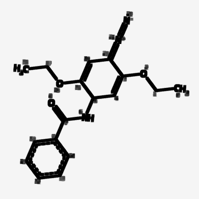 CCOC1=CC(NC(=O)c2ccccc2)C(OCC)=CC1=[N+]=[N-]